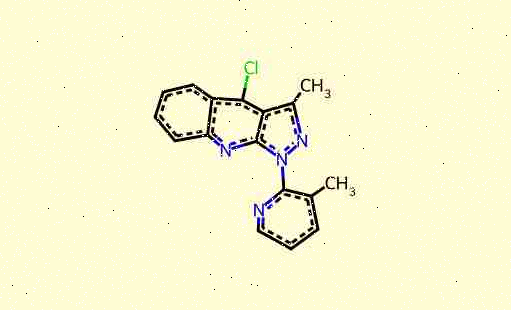 Cc1cccnc1-n1nc(C)c2c(Cl)c3ccccc3nc21